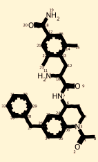 CC(=O)N1CCC(NC(=O)C(N)Cc2c(C)cc(C(N)=O)cc2C)c2cc(Cc3ccccc3)ccc21